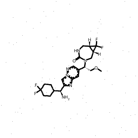 COC[C@H](c1cnn2cc([C@@H](N)C3CCC(F)(F)CC3)nc2c1)N1C[C@@H]2[C@H](CNC1=O)C2(F)F